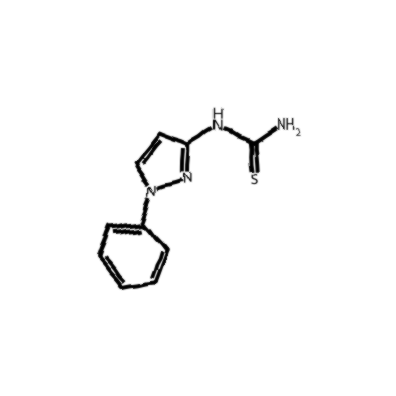 NC(=S)Nc1ccn(-c2ccccc2)n1